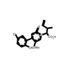 C=CC(C)C(C(=O)O)n1cc(OC)c(-c2cc(Cl)ccc2C#N)cc1=O